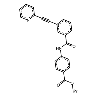 CC(C)OC(=O)c1ccc(NC(=O)c2cccc(C#Cc3ccccn3)c2)cc1